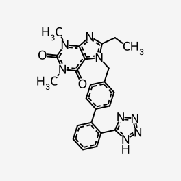 CCc1nc2c(c(=O)n(C)c(=O)n2C)n1Cc1ccc(-c2ccccc2-c2nnn[nH]2)cc1